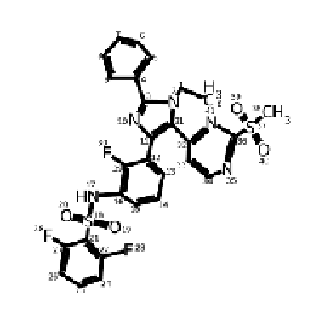 CCn1c(-c2ccccc2)nc(-c2cccc(NS(=O)(=O)c3c(F)cccc3F)c2F)c1-c1ccnc(S(C)(=O)=O)n1